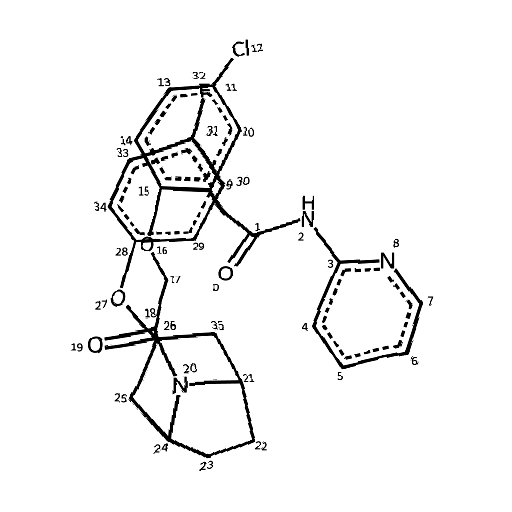 O=C(Nc1ccccn1)c1cc(Cl)ccc1OCC(=O)N1C2CCC1CC(Oc1ccc(F)cc1)C2